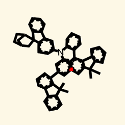 CC1(C)c2ccccc2-c2c(-c3ccccc3N(c3cccc(-c4cccc5c4C(C)(C)c4ccccc4-5)c3)c3ccc4c(c3)-c3ccccc3C43CC4CCC3C4)cccc21